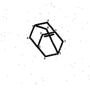 C1=C2C[C]3CC1CC(C3)C2